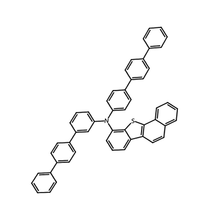 c1ccc(-c2ccc(-c3ccc(N(c4cccc(-c5ccc(-c6ccccc6)cc5)c4)c4cccc5c4sc4c6ccccc6ccc54)cc3)cc2)cc1